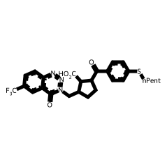 CCCCCSc1ccc(C(=O)C2CCC(Cn3nnc4ccc(C(F)(F)F)cc4c3=O)C2C(=O)O)cc1